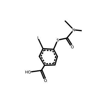 CN(C)C(=O)Sc1ccc(C(=O)O)cc1I